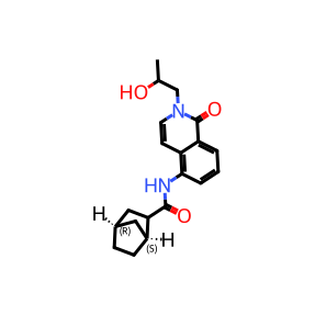 CC(O)Cn1ccc2c(NC(=O)C3C[C@@H]4CC[C@H]3C4)cccc2c1=O